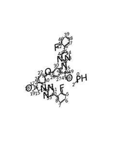 CPC.Fc1ccccc1-c1cnc(N2CC3(COC3)c3ccc(Oc4ccc5c(c4)N(c4ncc(-c6ccccc6F)cn4)CC54COC4)cc32)nc1